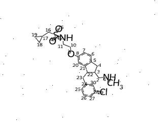 CNCC1Cc2ccc(OCCNS(=O)(=O)CC3CC3)cc2C1Cc1cccc(Cl)c1